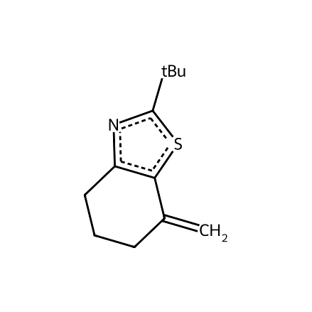 C=C1CCCc2nc(C(C)(C)C)sc21